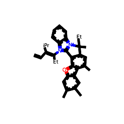 C=C/C(=C(\CC)n1c2[n+](c3ccccc31)C(C)(CC)c1cc(C)c3c(oc4cc(C)c(C)cc43)c1-2)C(C)C